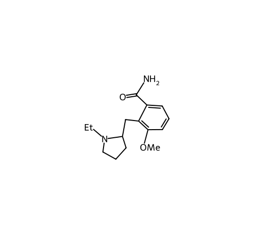 CCN1CCCC1Cc1c(OC)cccc1C(N)=O